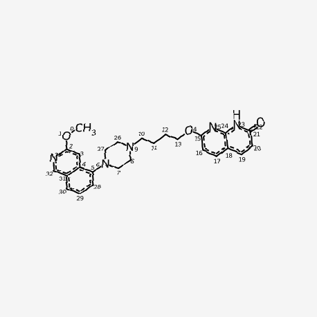 COc1cc2c(N3CCN(CCCCOc4ccc5ccc(=O)[nH]c5n4)CC3)cccc2cn1